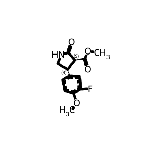 COC(=O)[C@@H]1C(=O)NC[C@H]1c1ccc(OC)c(F)c1